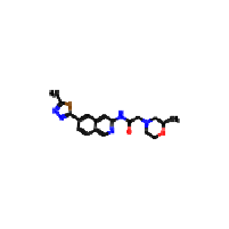 Cc1nnc(-c2ccc3cnc(NC(=O)CN4CCOC(C)C4)cc3c2)s1